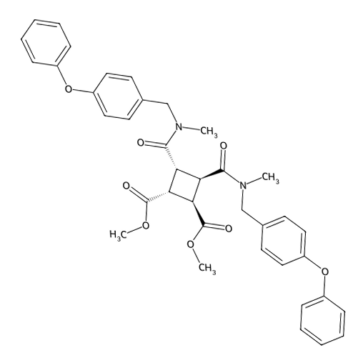 COC(=O)[C@H]1[C@H](C(=O)OC)[C@H](C(=O)N(C)Cc2ccc(Oc3ccccc3)cc2)[C@H]1C(=O)N(C)Cc1ccc(Oc2ccccc2)cc1